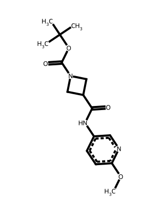 COc1ccc(NC(=O)C2CN(C(=O)OC(C)(C)C)C2)cn1